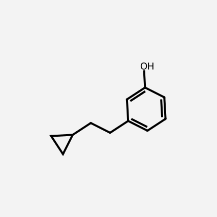 Oc1cccc(CCC2CC2)c1